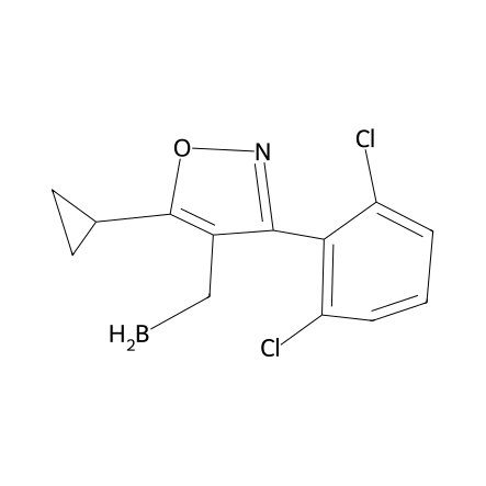 BCc1c(-c2c(Cl)cccc2Cl)noc1C1CC1